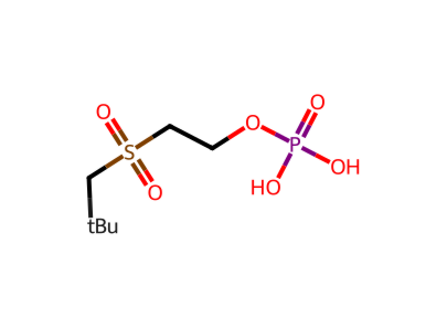 CC(C)(C)CS(=O)(=O)CCOP(=O)(O)O